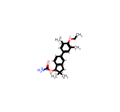 CCOc1c(C)cc(-c2ccc3c(c2)CC(C)(C)C3OC(N)=O)cc1C